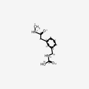 CNC(=O)Cc1cccc(CNC(=O)O)c1